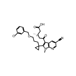 C[C@H](CC(=O)O)CC(=O)c1c(C2(CCCOCc3cccc(Cl)c3)CC2)n(C)c2ncc(C#N)cc12